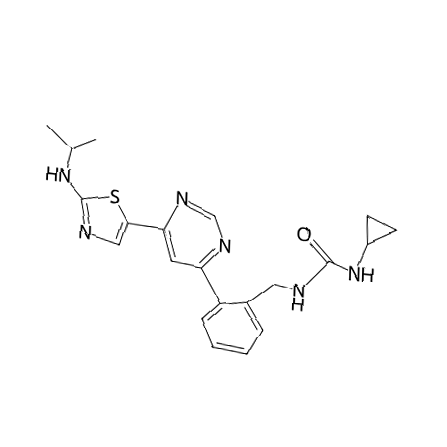 CC(C)Nc1ncc(-c2cc(-c3ccccc3CNC(=O)NC3CC3)ncn2)s1